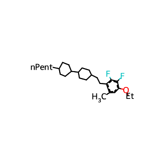 CCCCCC1CCC(C2CCC(CCc3c(C)cc(OCC)c(F)c3F)CC2)CC1